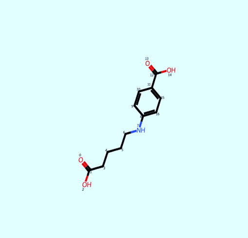 O=C(O)CCCCNc1ccc(C(=O)O)cc1